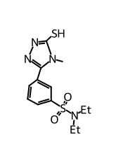 CCN(CC)S(=O)(=O)c1cccc(-c2nnc(S)n2C)c1